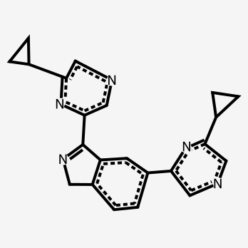 c1cc2c(cc1-c1cncc(C3CC3)n1)C(c1cncc(C3CC3)n1)=NC2